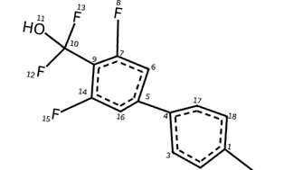 Cc1ccc(-c2cc(F)c(C(O)(F)F)c(F)c2)cc1